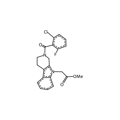 COC(=O)Cn1c2c(c3ccccc31)CCN(C(=O)c1c(F)cccc1Cl)C2